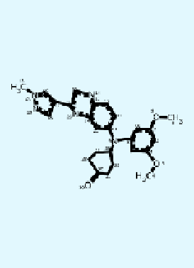 COc1cc(OC)cc(N(c2ccc3ncc(-c4cnn(C)c4)nc3c2)C2CCC(=O)CC2)c1